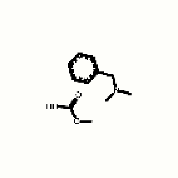 CN(C)Cc1ccccc1.COC(=O)O